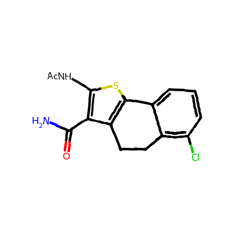 CC(=O)Nc1sc2c(c1C(N)=O)CCc1c(Cl)cccc1-2